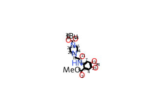 COC(=O)c1cc2c(cc1NC(=O)CN1CCN(C(=O)OC(C)(C)C)CC1)OCO2